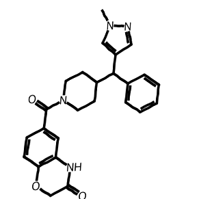 Cn1cc(C(c2ccccc2)C2CCN(C(=O)c3ccc4c(c3)NC(=O)CO4)CC2)cn1